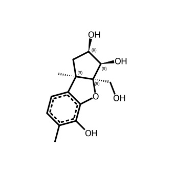 Cc1ccc2c(c1O)O[C@]1(CO)[C@H](O)[C@H](O)C[C@]21C